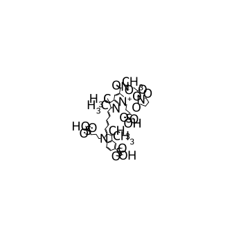 CN(OCC(=O)ON1C(=O)CCC1=O)C(=O)c1cc2c([n+](CCCS(=O)(=O)O)c1)N=C(/C=C/C=C/C=C1/N(CCCS(=O)(=O)O)c3ccc(S(=O)(=O)O)cc3C1(C)C)C2(C)C